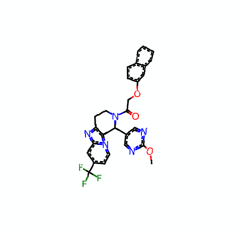 COc1ncc(C2c3c(nc4cc(C(F)(F)F)ccn34)CCN2C(=O)COc2ccc3ccccc3c2)cn1